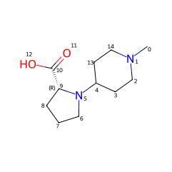 CN1CCC(N2CCC[C@@H]2C(=O)O)CC1